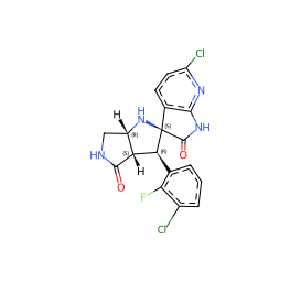 O=C1NC[C@@H]2N[C@@]3(C(=O)Nc4nc(Cl)ccc43)[C@@H](c3cccc(Cl)c3F)[C@H]12